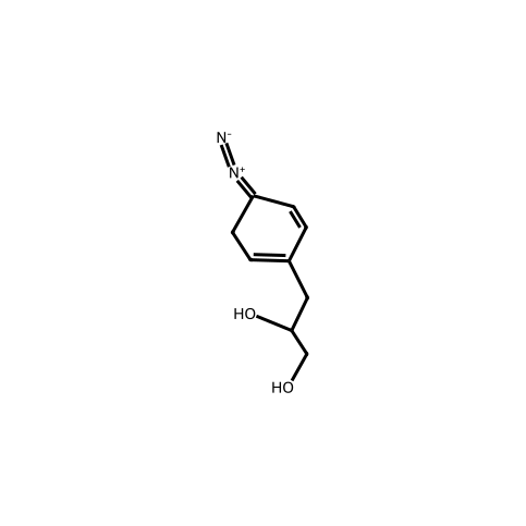 [N-]=[N+]=C1C=CC(CC(O)CO)=CC1